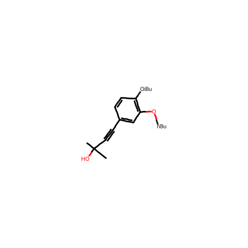 CCCCOc1cc(C#CC(C)(C)O)ccc1OCC(C)C